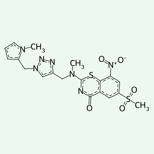 CN(Cc1cn(Cc2cccn2C)nn1)c1nc(=O)c2cc(S(C)(=O)=O)cc([N+](=O)[O-])c2s1